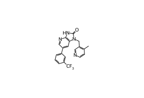 Cc1ccncc1Cn1c(=O)[nH]c2ncc(-c3cccc(C(F)(F)F)c3)cc21